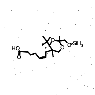 CC(C)(C)[C@@]1(C)O[C@](C)(CO[SiH3])OC[C@]1(C)C/C=C\CCCC(=O)O